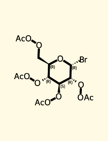 CC(=O)OOC[C@H]1O[C@H](Br)[C@H](OOC(C)=O)[C@@H](OOC(C)=O)[C@@H]1OOC(C)=O